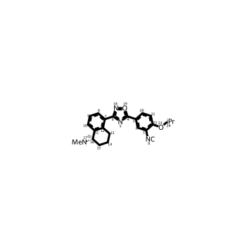 [C-]#[N+]c1cc(-c2nc(-c3cccc4c3CCC[C@@H]4NC)no2)ccc1OC(C)C